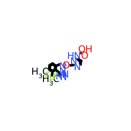 Cc1ccc(C=NOCc2nccc(NC(=O)O)n2)c(-c2nnnn2C)c1C(F)(F)F